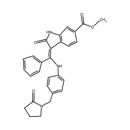 COC(=O)c1ccc2c(c1)NC(=O)C2=C(Nc1ccc(CN2CCCC2=O)cc1)c1ccccc1